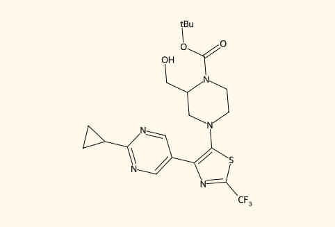 CC(C)(C)OC(=O)N1CCN(c2sc(C(F)(F)F)nc2-c2cnc(C3CC3)nc2)CC1CO